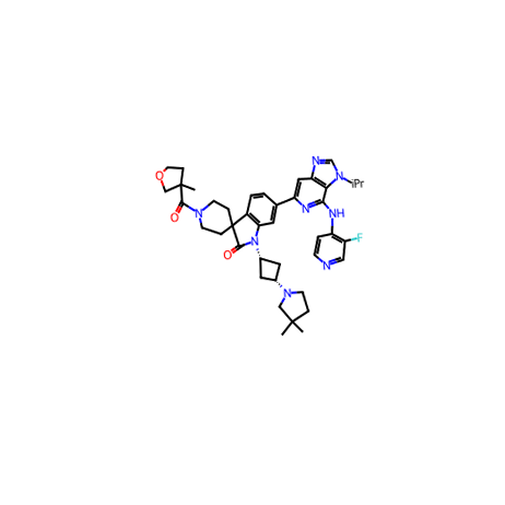 CC(C)n1cnc2cc(-c3ccc4c(c3)N([C@H]3C[C@@H](N5CCC(C)(C)C5)C3)C(=O)C43CCN(C(=O)C4(C)CCOC4)CC3)nc(Nc3ccncc3F)c21